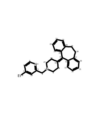 CCc1ccnc(CN2CCC(=C3c4ccccc4CCc4ccccc43)CC2)c1